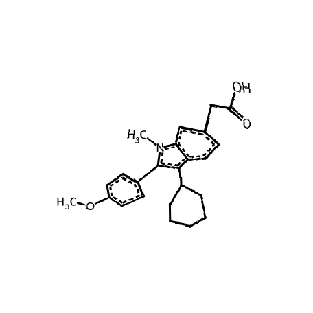 COc1ccc(-c2c(C3CCCCC3)c3ccc(CC(=O)O)cc3n2C)cc1